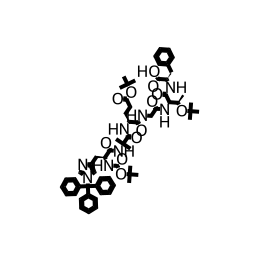 C[C@@H](OC(C)(C)C)[C@H](NC(=O)CNC(=O)[C@H](CCC(=O)OC(C)(C)C)NC(=O)C(C)(C)NC(=O)[C@H](Cc1cn(C(c2ccccc2)(c2ccccc2)c2ccccc2)cn1)NC(=O)OC(C)(C)C)C(=O)N[C@@H](Cc1ccccc1)C(=O)O